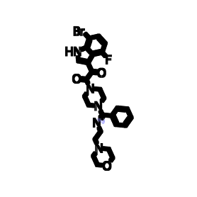 O=C(C(=O)N1CCN(/C(=N/CCN2CCOCC2)c2ccccc2)CC1)c1c[nH]c2c(Br)ccc(F)c12